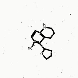 N#Cc1ccc2c(c1C1CCCO1)CCCN2